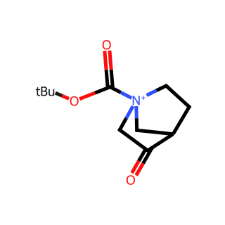 CC(C)(C)OC(=O)[N+]12CCC(C1)C(=O)C2